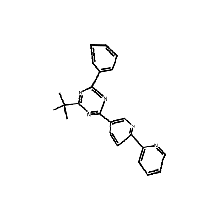 CC(C)(C)c1nc(-c2ccccc2)nc(-c2ccc(-c3ccccn3)nc2)n1